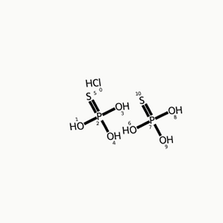 Cl.OP(O)(O)=S.OP(O)(O)=S